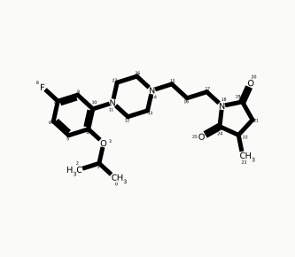 CC(C)Oc1ccc(F)cc1N1CCN(CCCN2C(=O)CC(C)C2=O)CC1